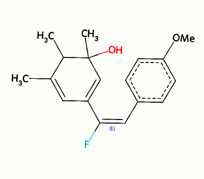 COc1ccc(/C=C(/F)C2=CC(C)(O)C(C)C(C)=C2)cc1